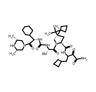 C[C@@H]1CN(C(=O)[C@@H](NC(=O)N[C@H](C(=O)N2C[C@]3(C[C@H]2C(=O)NC(CC2CCC2)C(=O)C(N)=O)C(C)(C)C32CCC2)C(C)(C)C)C2CCCCC2)C[C@H](C)N1